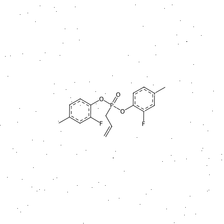 C=CCP(=O)(Oc1ccc(C)cc1F)Oc1ccc(C)cc1F